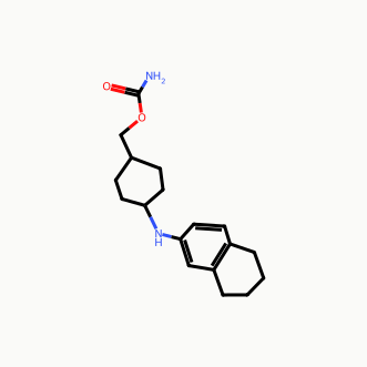 NC(=O)OCC1CCC(Nc2ccc3c(c2)CCCC3)CC1